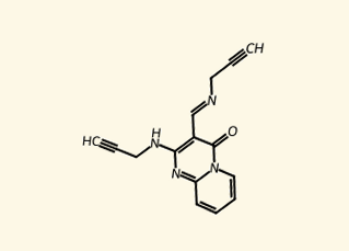 C#CCN=Cc1c(NCC#C)nc2ccccn2c1=O